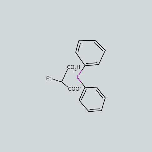 CCC(C(=O)[O-])C(=O)O.c1ccc([I+]c2ccccc2)cc1